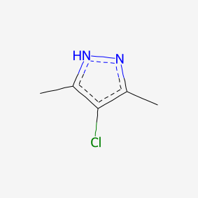 Cc1n[nH]c(C)c1Cl